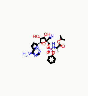 CC(C)OC(=O)[C@H](C)N[P@](=O)(OC[C@@]1(C#N)O[C@@H](c2ccc3c(N)ncnn23)[C@H](O)[C@@H]1O)Oc1ccccc1